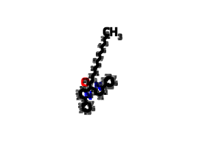 CCCCCCCCCCCCCCC(=O)C(c1cccc(-c2ccccc2)n1)c1cccc(-c2ccccc2)n1